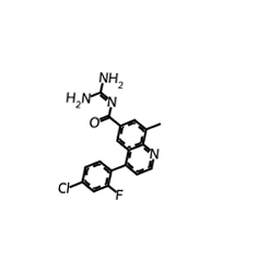 Cc1cc(C(=O)N=C(N)N)cc2c(-c3ccc(Cl)cc3F)ccnc12